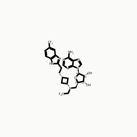 Nc1ncnc2c1ncn2[C@@H]1O[C@H](CN(CC(F)(F)F)[C@H]2C[C@@H](CCc3nc4cc(C(F)(F)F)ccc4[nH]3)C2)[C@@H](O)[C@H]1O